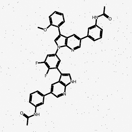 COc1ccccc1-c1cn(-c2cc(F)c(F)c(-c3c[nH]c4ncc(-c5cccc(NC(C)=O)c5)cc34)c2)c2ncc(-c3cccc(NC(C)=O)c3)cc12